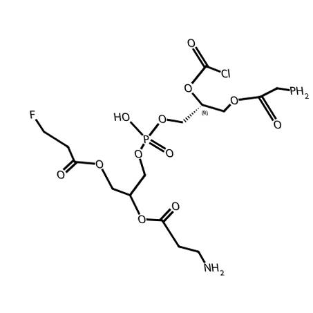 NCCC(=O)OC(COC(=O)CCF)COP(=O)(O)OC[C@@H](COC(=O)CP)OC(=O)Cl